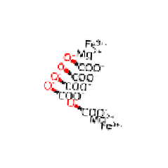 O=C([O-])[O-].O=C([O-])[O-].O=C([O-])[O-].O=C([O-])[O-].O=C([O-])[O-].[Fe+3].[Fe+3].[Mg+2].[Mg+2]